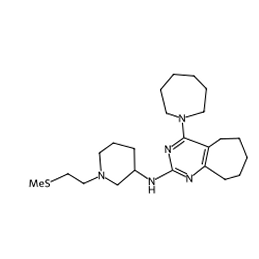 CSCCN1CCCC(Nc2nc3c(c(N4CCCCCC4)n2)CCCCC3)C1